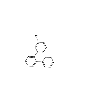 Fc1cccc(-c2ccccc2-c2ccccc2)c1